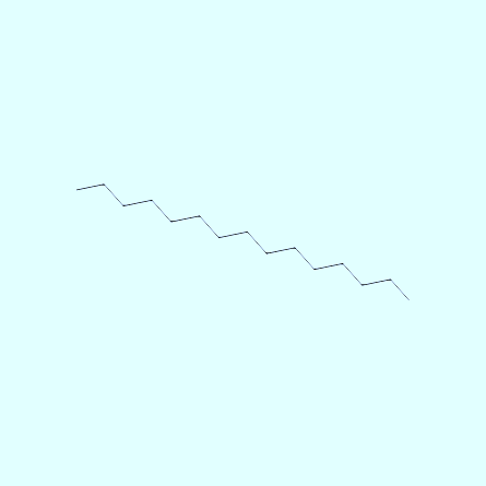 Br.CCCCCCCCCCCCCCC